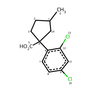 CC1CCC(C(=O)O)(c2ccc(Cl)cc2Cl)C1